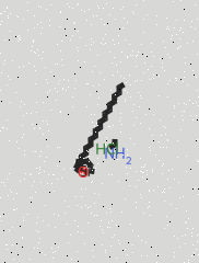 CCCCCCCCCCCCCCCCCCC1(C)CC[Si](C)(C)OC1(C)C.CCCN.Cl